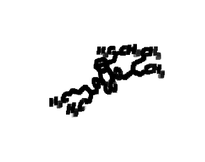 CCCCC(CC)COC(=O)C1C2CCC(CC(C)C)(CC2)C1C(=O)OCC(CC)CCC